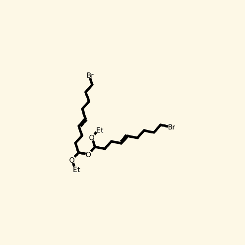 CCOC(CCC=CCCCCBr)OC(CCC=CCCCCBr)OCC